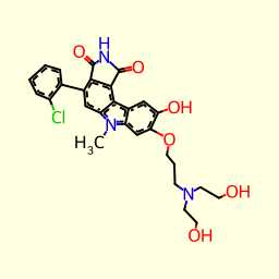 Cn1c2cc(OCCCN(CCO)CCO)c(O)cc2c2c3c(c(-c4ccccc4Cl)cc21)C(=O)NC3=O